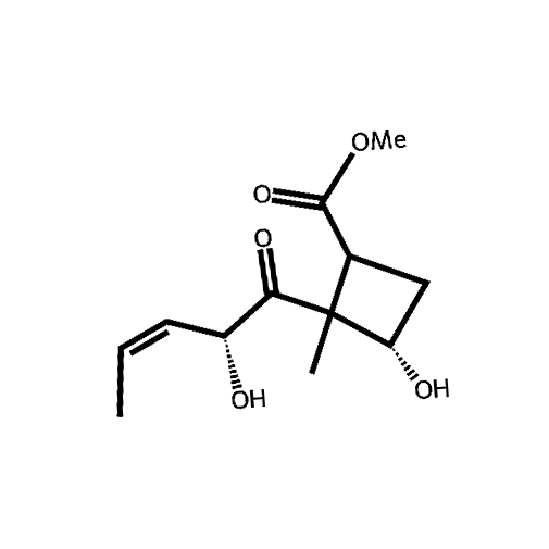 C/C=C\[C@@H](O)C(=O)C1(C)C(C(=O)OC)C[C@@H]1O